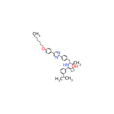 C=C(O)C(Cc1ccc(-c2ncc(-c3ccc(OCCCCCCC)cc3)cn2)cc1)NC(=C1CCC1)c1cccc(C(C)C)c1